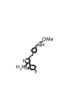 COCCNCc1ccc(CCc2cnc3c(N)nc4cc(F)ccc4c3c2)cc1